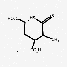 CC(C(=S)S)C(CCC(=O)O)C(=O)O